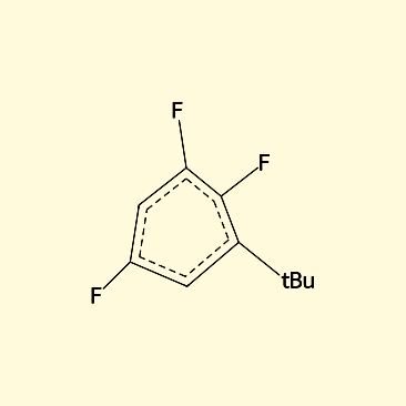 CC(C)(C)c1cc(F)cc(F)c1F